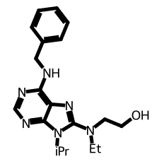 CCN(CCO)c1nc2c(NCc3ccccc3)ncnc2n1C(C)C